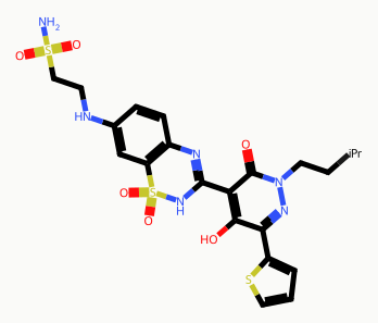 CC(C)CCn1nc(-c2cccs2)c(O)c(C2=Nc3ccc(NCCS(N)(=O)=O)cc3S(=O)(=O)N2)c1=O